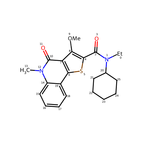 CCN(C(=O)c1sc2c(c1OC)c(=O)n(C)c1ccccc21)C1CCCCC1